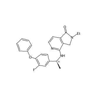 CCN1Cc2c(ccnc2N[C@@H](C)c2ccc(Oc3ccccc3)c(F)c2)C1=O